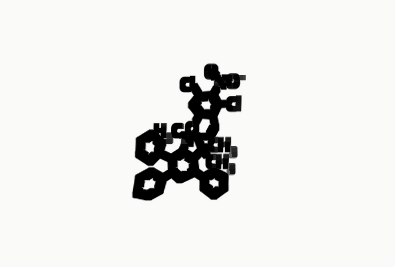 CN1c2c(-c3ccccc3)c(-c3ccccc3)cc(-c3ccccc3)c2C(C)(C)C12C=Cc1c(cc(Cl)c([N+](=O)[O-])c1Cl)O2